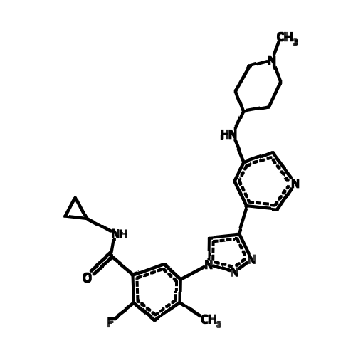 Cc1cc(F)c(C(=O)NC2CC2)cc1-n1cc(-c2cncc(NC3CCN(C)CC3)c2)nn1